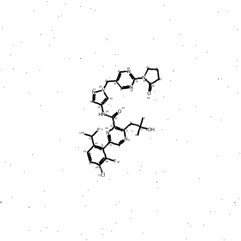 CC(C)(O)Cc1ncc(-c2c(C(F)F)ccc(Cl)c2F)nc1C(=O)Nc1cnn(Cc2cnc(N3CCCC3=O)nc2)c1